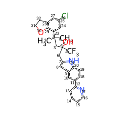 CC(C)(CC(O)(Cc1cc2cc(-c3ccccn3)ccc2[nH]1)C(F)(F)F)c1cc(Cl)cc2c1OCC2